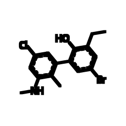 CCc1cc(Br)cc(-c2cc(Cl)cc(NC)c2C)c1O